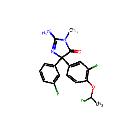 CC(F)Oc1ccc(C2(c3cccc(F)c3)N=C(N)N(C)C2=O)cc1F